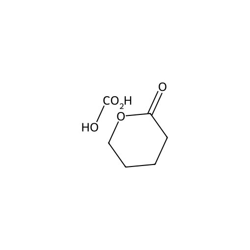 O=C(O)O.O=C1CCCCO1